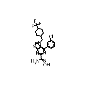 NC(=NO)c1nc(-c2cccc(Cl)c2)c2c(ncn2CC2CCC(C(F)(F)F)CC2)n1